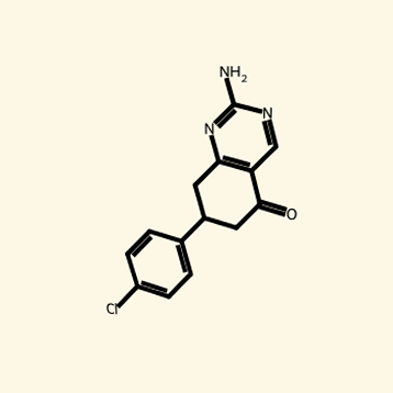 Nc1ncc2c(n1)CC(c1ccc(Cl)cc1)CC2=O